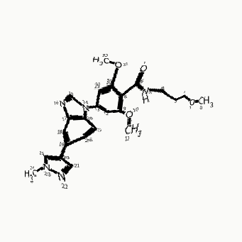 COCCCNC(=O)c1c(OC)cc(-n2cnc3cc(-c4cnn(C)c4)ccc32)cc1OC